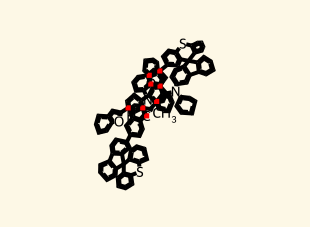 CC1(C)c2cc(-c3cc4ccccc4o3)ccc2-c2ccc(N(c3ccccc3)c3ccc4c(c3)-c3ccccc3C43c4ccccc4Sc4ccc(-c5ccc6c(N(c7ccc8cc(-c9ccc%10c(c9)C9(c%11ccccc%11Sc%11ccccc%119)c9ccccc9-%10)ccc8c7)c7ccccc7-c7cc8ccccc8o7)cccc6c5)cc43)cc21